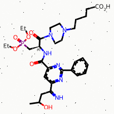 CCOP(=O)(C[C@H](NC(=O)c1cc(C(=N)CC(C)O)nc(-c2ccccc2)n1)C(=O)N1CCN(CCCCC(=O)O)CC1)OCC